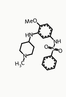 COc1ccc(NS(=O)(=O)c2ccccc2)cc1NC1CCN(C)CC1